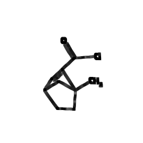 CC12CCC(C=C1C(=O)Cl)C2